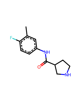 Cc1cc(NC(=O)C2CCNC2)ccc1F